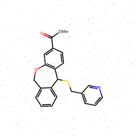 COC(=O)c1ccc2c(c1)OCc1ccccc1C2SCc1cccnc1